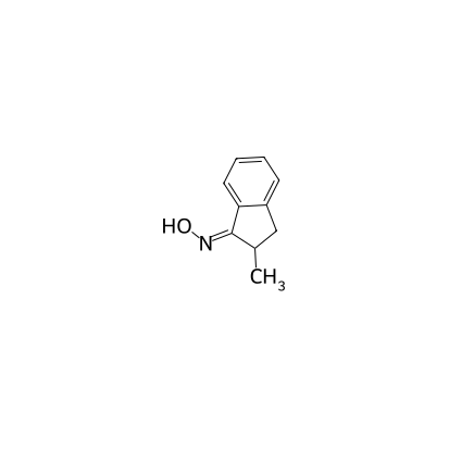 CC1Cc2ccccc2C1=NO